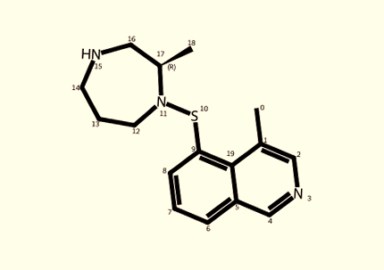 Cc1cncc2cccc(SN3CCCNC[C@H]3C)c12